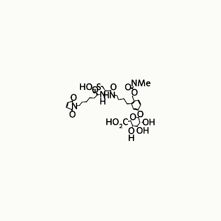 CNC(=O)OCc1ccc(O[C@@H]2O[C@H](C(=O)O)[C@@H](O)[C@H](O)[C@H]2O)cc1CCCCNC(=O)[C@H](CS(=O)(=O)O)NC(=O)CCCCCN1C(=O)C=CC1=O